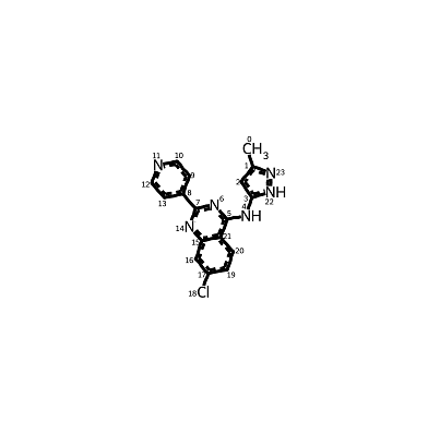 Cc1cc(Nc2nc(-c3ccncc3)nc3cc(Cl)ccc23)[nH]n1